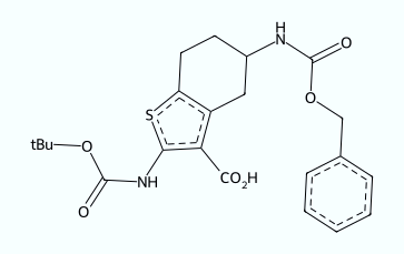 CC(C)(C)OC(=O)Nc1sc2c(c1C(=O)O)CC(NC(=O)OCc1ccccc1)CC2